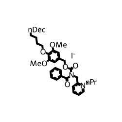 CCCCCCCCCCCCCCOc1c(OC)cc(COC(=O)N(Cc2cccc[n+]2CCC)C(=O)c2ccccc2)cc1OC.[I-]